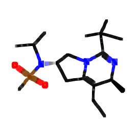 CCC1=C2C[C@H](N(C(C)C)S(C)(=O)=O)CN2C(C(C)(C)C)=N[C@H]1C